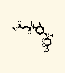 COC(=O)/C=C\C(=O)Nc1ccc(NC(=O)/C=C/C(=O)OC)c(C)c1